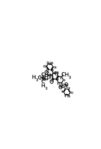 CC1CC(S(=O)(=O)c2ccccc2)Cc2c1nc(-c1ccccc1)n(C(=O)OC(C)(C)C)c2=O